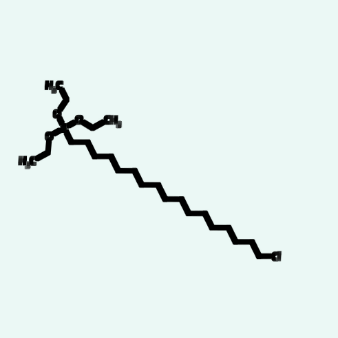 CCO[Si](CCCCCCCCCCCCCCCCCCl)(OCC)OCC